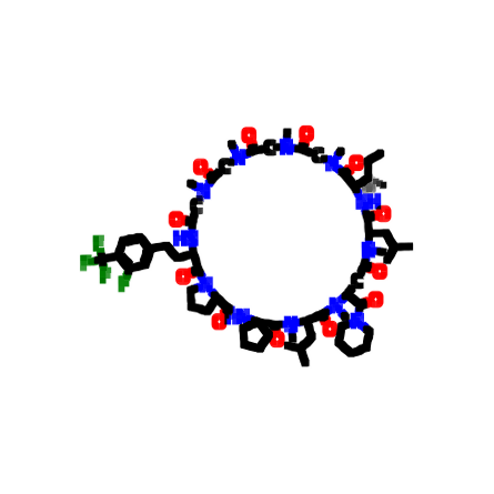 CC[C@H](C)C1NC(=O)C(CC(C)C)N(C)C(=O)CC(C(=O)N2CCCCC2)N(C)C(=O)C(CC(C)C)N(C)C(=O)C2(CCCC2)NC(=O)C2CCCN2C(=O)C(CCc2ccc(C(F)(F)F)c(F)c2)NC(=O)CN(C)C(=O)CN(C)C(=O)CN(C)C(=O)CN(C)C1=O